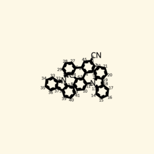 N#Cc1ccc(-c2c(C#N)cccc2-n2c3ccccc3c3ccccc32)c(-c2cccc(-n3c4ccccc4c4ccccc43)c2)c1